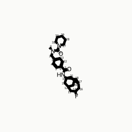 CN(Cc1ccc(C(=O)NC23CC4CC(F)CC(C2)C(C4)C3)cc1)C(=O)N1CCCCC1